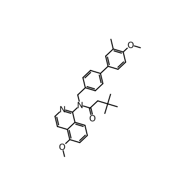 COc1ccc(-c2ccc(CN(C(=O)CC(C)(C)C)c3nccc4c(OC)cccc34)cc2)cc1C